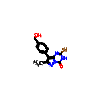 Cc1nn2c(=O)[nH]c(S)nc2c1-c1ccc(CO)cc1